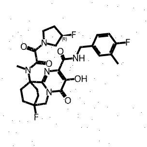 Cc1cc(CNC(=O)c2nc3n(c(=O)c2O)CC2(F)CCC3(N(C)C(=O)C(=O)N3CC[C@@H](F)C3)CC2)ccc1F